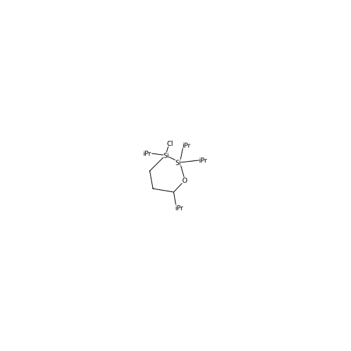 CC(C)C1CC[Si](Cl)(C(C)C)[Si](C(C)C)(C(C)C)O1